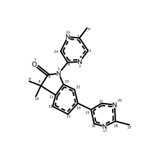 Cc1cnc(N2C(=O)C(C)(C)c3ccc(-c4cnc(C)nc4)cc32)cn1